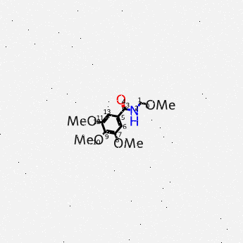 COCNC(=O)c1cc(OC)c(OC)c(OC)c1